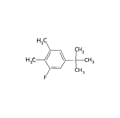 Cc1cc(C(C)(C)C)cc(F)c1C